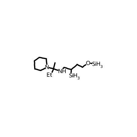 CCC(C)(NCC([SiH3])CCO[SiH3])N1CCCCC1